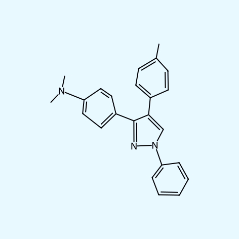 Cc1ccc(-c2cn(-c3ccccc3)nc2-c2ccc(N(C)C)cc2)cc1